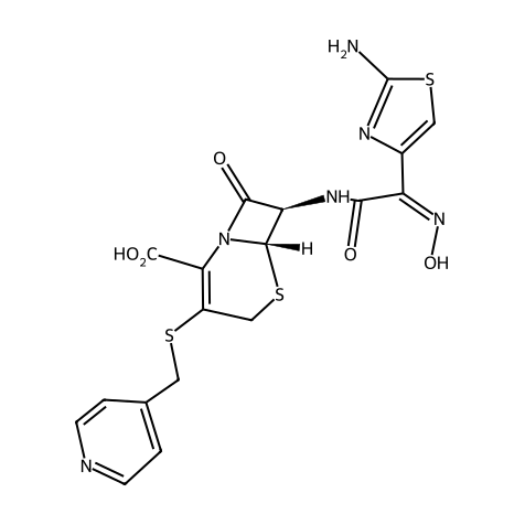 Nc1nc(/C(=N/O)C(=O)N[C@@H]2C(=O)N3C(C(=O)O)=C(SCc4ccncc4)CS[C@@H]23)cs1